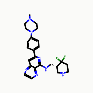 CN1CCN(c2ccc(-c3cc4nccnc4c(NC[C@H]4CNCCC4(F)F)n3)cc2)CC1